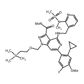 CNC(=O)c1nn(COCC[Si](C)(C)C)c2cc(-c3cc(F)c(OC)cc3C3CC3)nc(NCc3cccnc3N(C)S(C)(=O)=O)c12